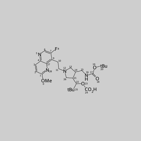 COc1ccc2ncc(F)c(CCN3CC(CNC(=O)OC(C)(C)C)C(C(OC(=O)O)C(C)(C)C)C3)c2n1